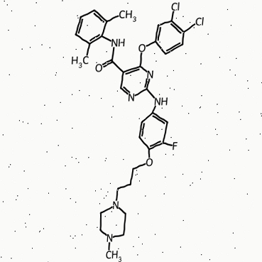 Cc1cccc(C)c1NC(=O)c1cnc(Nc2ccc(OCCCN3CCN(C)CC3)c(F)c2)nc1Oc1ccc(Cl)c(Cl)c1